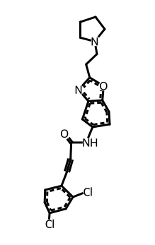 O=C(C#Cc1ccc(Cl)cc1Cl)Nc1ccc2oc(CCN3CCCC3)nc2c1